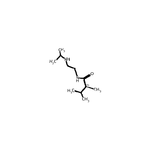 CC(C)NCCNC(=O)[C@@H](C)C(C)C